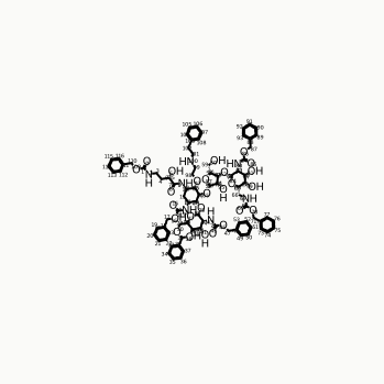 O=C(NCC[C@H](O)C(=O)N[C@@H]1C[C@H](NC(=O)OCc2ccccc2)[C@@H](O[C@H]2O[C@@H]3COC(c4ccccc4)O[C@H]3[C@H](O)[C@H]2NC(=O)OCc2ccccc2)[C@H](O[C@@H]2O[C@H](CO)[C@@H](O[C@H]3O[C@@H](CNC(=O)OCc4ccccc4)[C@@H](O)[C@H](O)[C@H]3NC(=O)OCc3ccccc3)[C@H]2O)[C@H]1OCCNCCc1ccccc1)OCc1ccccc1